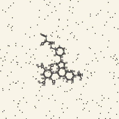 C=CC(=O)NCc1cccc(-c2cn3c(n2)c(-c2c(Cl)c(OC)cc(OC)c2Cl)cc2cnc(NC)nc23)c1